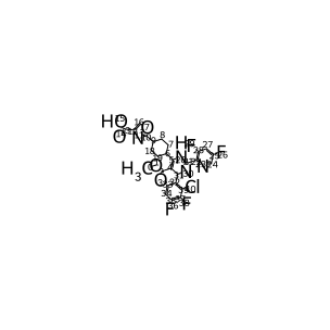 COC(=O)C1=C(C2CCC(c3nc(C(=O)O)co3)CC2)NC(c2ncc(F)cc2F)=NC1c1ccc(F)c(F)c1Cl